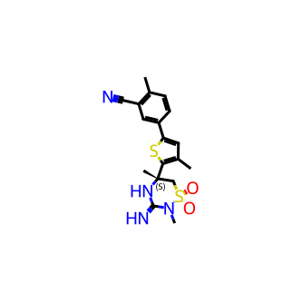 Cc1ccc(-c2cc(C)c([C@]3(C)CS(=O)(=O)N(C)C(=N)N3)s2)cc1C#N